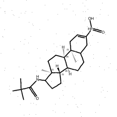 CC(C)(C)C(=O)NC1CC[C@H]2[C@@H]3CCC4CC([PH](=O)O)=CC[C@]4(C)[C@@H]3CC[C@]12C